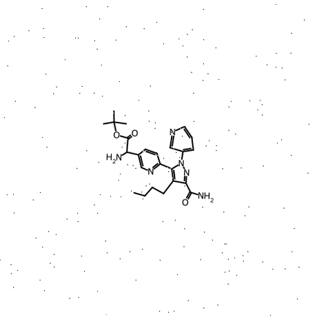 CCCCc1c(C(N)=O)nn(-c2cccnc2)c1-c1ccc(C(N)C(=O)OC(C)(C)C)cn1